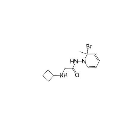 CC1(Br)[C]=CC=CN1NC(=O)CNC1CCC1